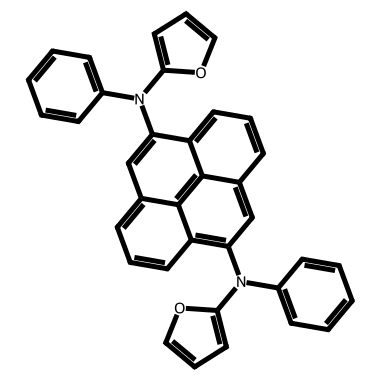 c1ccc(N(c2ccco2)c2cc3cccc4c(N(c5ccccc5)c5ccco5)cc5cccc2c5c34)cc1